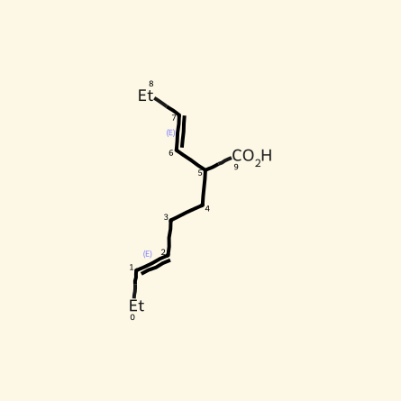 CC/C=C/CCC(/C=C/CC)C(=O)O